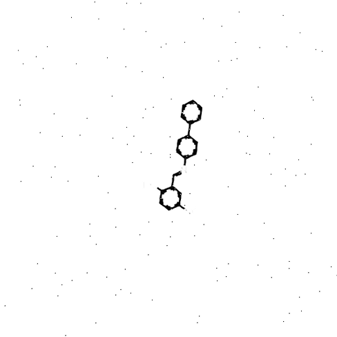 O=[N+]([O-])c1ccc(O)c(/C=N/c2ccc(-c3ccccc3)cc2)c1